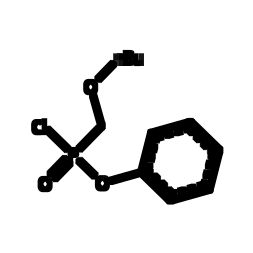 CCCCOCP(=O)(Cl)Oc1ccccc1